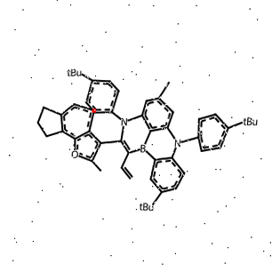 C=CC1=C(c2c(C)oc3c4c(ccc23)CCC4)N(c2ccc(C(C)(C)C)cc2)c2cc(C)cc3c2B1c1cc(C(C)(C)C)ccc1N3c1ccc(C(C)(C)C)cc1